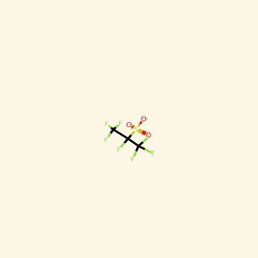 [O]S(=O)(=O)C(F)(C(F)(F)F)C(F)(F)F